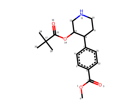 COC(=O)c1ccc(C2CCNCC2OC(=O)C(C)(C)C)cc1